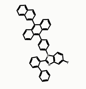 Fc1ccc2c(c1)nc(-c1ccccc1-c1ccccc1)n2-c1ccc(-c2c3ccccc3c(-c3ccc4ccccc4c3)c3ccccc23)cc1